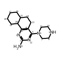 Nc1nc2c(c(N3CCNCC3)n1)CCC1CCCCC21